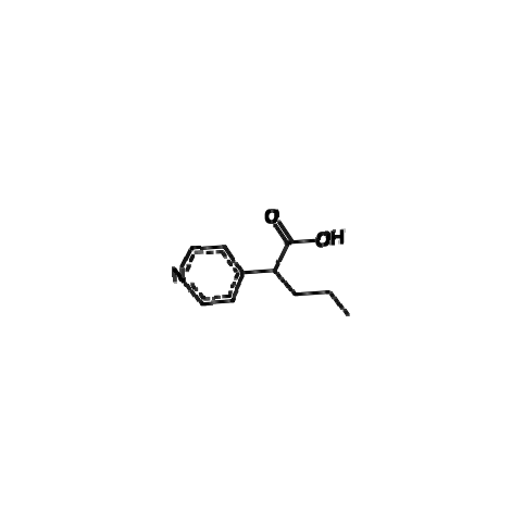 CCCC(C(=O)O)c1ccncc1